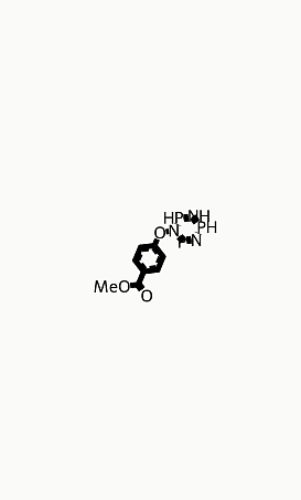 COC(=O)c1ccc(On2pn[pH][nH][pH]2)cc1